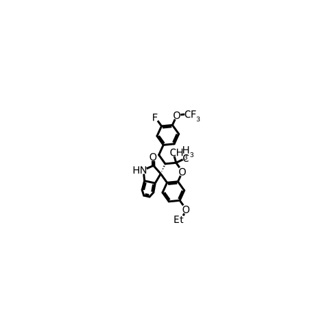 CCOc1ccc2c(c1)OC(C)(C)C(Cc1ccc(OC(F)(F)F)c(F)c1)[C@]21C(=O)Nc2ccccc21